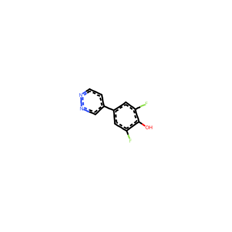 Oc1c(F)cc(-c2ccnnc2)cc1F